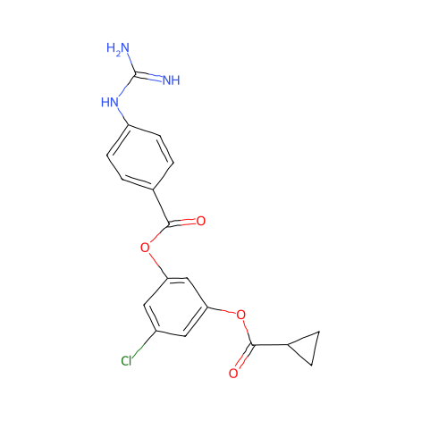 N=C(N)Nc1ccc(C(=O)Oc2cc(Cl)cc(OC(=O)C3CC3)c2)cc1